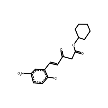 O=C(C=Cc1cc([N+](=O)[O-])ccc1Cl)CC(=O)OC1CCCCC1